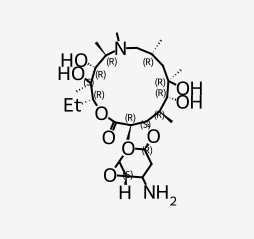 CC[C@H]1OC(=O)[C@H](C)[C@@H](O[C@H]2CC(N)[C@@H]3OC3O2)[C@H](C)[C@@H](O)[C@](C)(O)C[C@@H](C)CN(C)[C@H](C)[C@@H](O)[C@]1(C)O